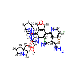 COCCCN1CC2CCC(C1)N2c1nc(OCC23CCCN2CC3)nc2c(F)c(-c3ncc(F)c4sc(N)c(C#N)c34)c3c(c12)COC3